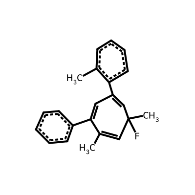 CC1=CC(C)(F)C=C(c2ccccc2C)C=C1c1ccccc1